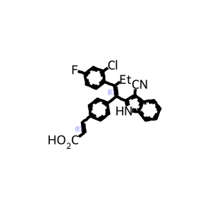 CC/C(=C(/c1ccc(/C=C/C(=O)O)cc1)c1[nH]c2ccccc2c1C#N)c1ccc(F)cc1Cl